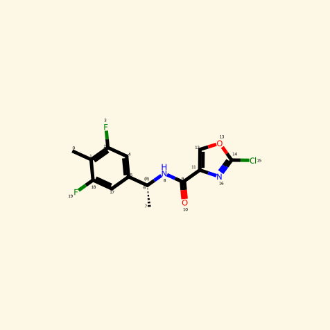 Cc1c(F)cc([C@@H](C)NC(=O)c2coc(Cl)n2)cc1F